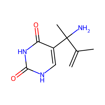 C=C(C)C(C)(N)c1c[nH]c(=O)[nH]c1=O